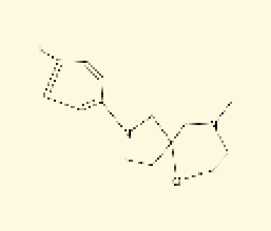 CN1CCOC2(CCN(c3ccc(I)cc3)C2)C1